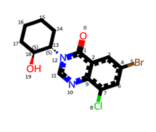 O=c1c2cc(Br)cc(Cl)c2ncn1[C@H]1CCCC[C@@H]1O